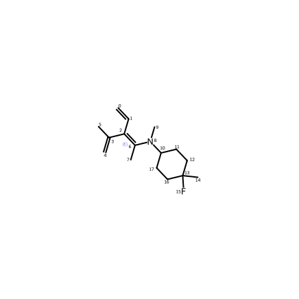 C=C/C(C(=C)C)=C(/C)N(C)C1CCC(C)(F)CC1